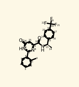 Cc1ccccc1-c1nc(C(=O)N[C@H](C)c2ccc(C(F)(F)F)cc2)cc(=O)[nH]1